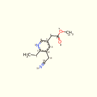 CCc1ncc(CC(=O)OC)cc1CC#N